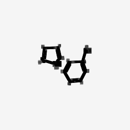 Sc1ccccc1.c1cn[nH]c1